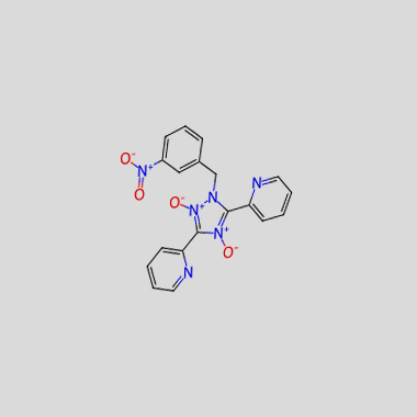 O=[N+]([O-])c1cccc(Cn2c(-c3ccccn3)[n+]([O-])c(-c3ccccn3)[n+]2[O-])c1